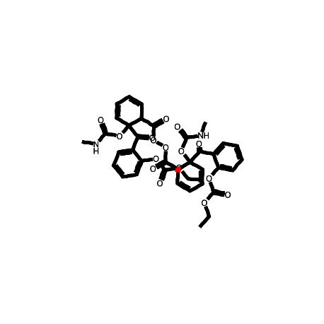 CCOC(=O)Oc1ccccc1C(=O)C1(OC(=O)NC)C=CC=CC1C(=O)OOC(=O)C1C=CC=CC1(OC(=O)NC)C(=O)c1ccccc1OC(=O)OCC